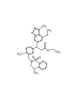 CCOC(=O)CC(c1ccc(C)c(CN2CC(C)c3ccccc3S2(=O)=O)c1)c1cc(OC)c2c(c1)nnn2C